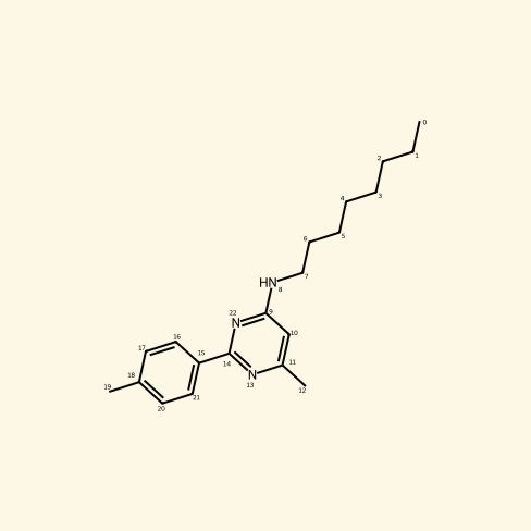 CCCCCCCCNc1cc(C)nc(-c2ccc(C)cc2)n1